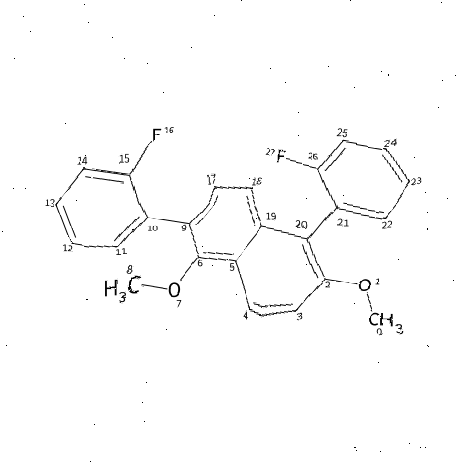 COc1ccc2c(OC)c(-c3ccccc3F)ccc2c1-c1ccccc1F